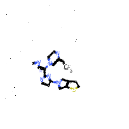 C=N/C=C(/c1nccc(N2CC3CCSC3C2)n1)N1C=C(CC(F)(F)F)N=CC1